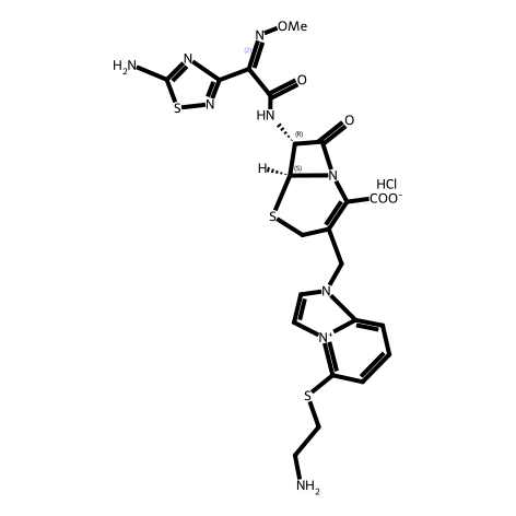 CO/N=C(\C(=O)N[C@@H]1C(=O)N2C(C(=O)[O-])=C(Cn3cc[n+]4c(SCCN)cccc34)CS[C@@H]12)c1nsc(N)n1.Cl